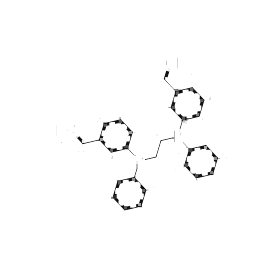 C=Cc1cccc(P(CCP(c2ccccc2)c2cccc(C=C)c2)c2ccccc2)c1